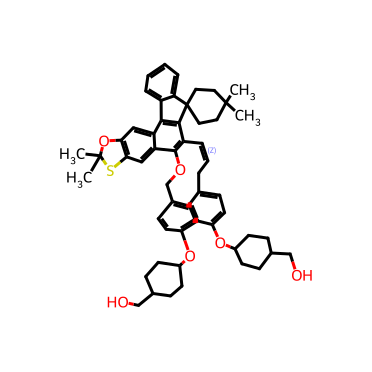 CC1(C)CCC2(CC1)c1ccccc1-c1c2c(/C=C\Cc2ccc(OC3CCC(CO)CC3)cc2)c(OCc2ccc(OC3CCC(CO)CC3)cc2)c2cc3c(cc12)OC(C)(C)S3